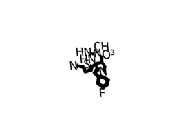 CN1C(=N)NC2(c3ccc(C#N)s3)c3cc4cc(F)ccc4n3CC2C1=O